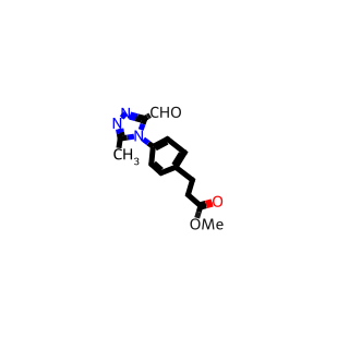 COC(=O)CCc1ccc(-n2c(C)nnc2C=O)cc1